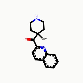 CCCC1(C(=O)c2ccc3ccccc3n2)CCNCC1